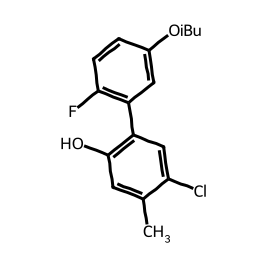 Cc1cc(O)c(-c2cc(OCC(C)C)ccc2F)cc1Cl